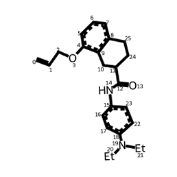 C=CCOc1cccc2c1CC(C(=O)Nc1ccc(N(CC)CC)cc1)CC2